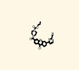 CCCOC(=O)N1CCN(C(=O)c2ccc3c(Cl)c4c(nc3c2)CC(c2ccnc(C#N)n2)CC4)CC1